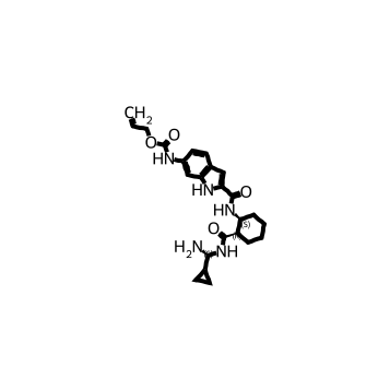 C=CCOC(=O)Nc1ccc2cc(C(=O)N[C@H]3CCCC[C@H]3C(=O)N[C@H](N)C3CC3)[nH]c2c1